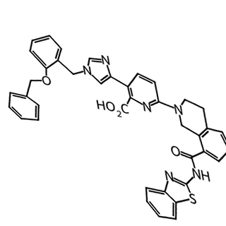 O=C(Nc1nc2ccccc2s1)c1cccc2c1CN(c1ccc(-c3cn(Cc4ccccc4OCc4ccccc4)cn3)c(C(=O)O)n1)CC2